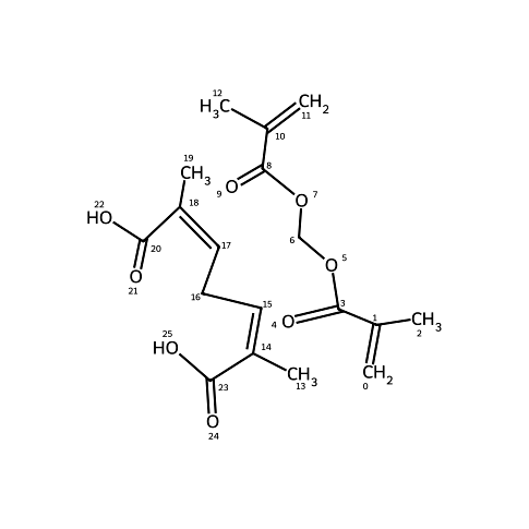 C=C(C)C(=O)OCOC(=O)C(=C)C.CC(=CCC=C(C)C(=O)O)C(=O)O